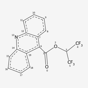 O=C(OC(C(F)(F)F)C(F)(F)F)c1c2ccccc2nc2ccccc12